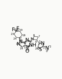 CN(C)c1nc(C2CC[C@H]2c2nc3c(cnn3C3CCC(F)(F)CC3)c(=O)[nH]2)cs1